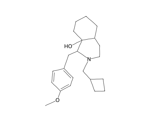 COc1ccc(CC2N(CC3CCC3)CCC3CCCCC32O)cc1